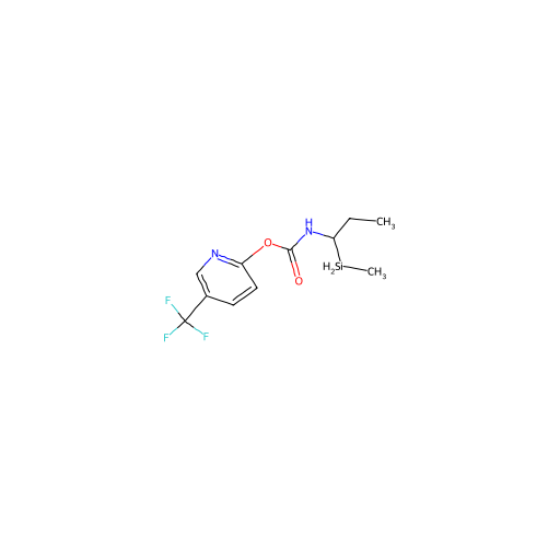 CCC(NC(=O)Oc1ccc(C(F)(F)F)cn1)[SiH2]C